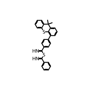 CC1(C)c2ccccc2Sc2c(-c3ccc(C(=N)SC(=N)c4ccccc4)cc3)cccc21